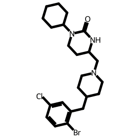 O=C1NC(CN2CCC(Cc3cc(Cl)ccc3Br)CC2)CCN1C1CCCCC1